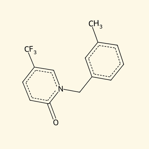 Cc1cccc(Cn2cc(C(F)(F)F)ccc2=O)c1